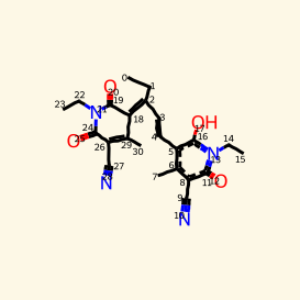 CCC(C=Cc1c(C)c(C#N)c(=O)n(CC)c1O)=C1C(=O)N(CC)C(=O)C(C#N)=C1C